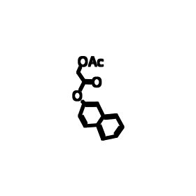 CC(=O)OCC(=O)Oc1ccc2ccccc2c1